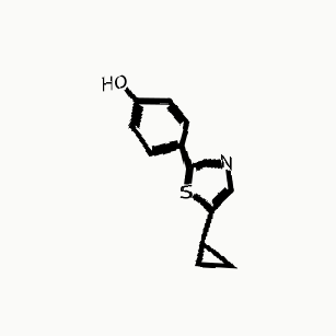 Oc1ccc(-c2ncc(C3CC3)s2)cc1